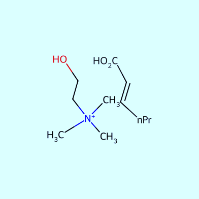 CCC/C=C/C(=O)O.C[N+](C)(C)CCO